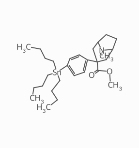 CCC[CH2][Sn]([CH2]CCC)([CH2]CCC)[c]1ccc(C2(C(=O)OC)CC3CCC(C2)N3C)cc1